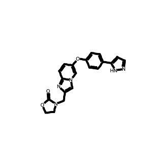 O=C1OCCN1Cc1cn2cc(Oc3ccc(-c4ccn[nH]4)cc3)ccc2n1